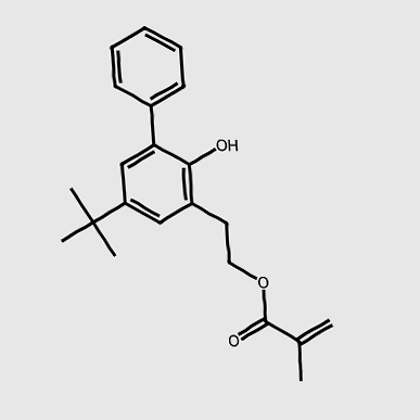 C=C(C)C(=O)OCCc1cc(C(C)(C)C)cc(-c2ccccc2)c1O